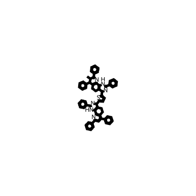 CC1C(c2ccccc2)=NC2=C(CCC3=C2NC(c2ccccc2)=NC3c2ccc(C3N=C(c4ccccc4)NC4=C3CCc3c(-c5ccccc5)cc(-c5ccccc5)nc34)s2)C1c1ccccc1